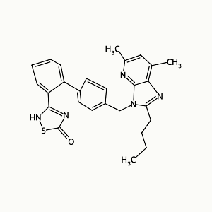 CCCCc1nc2c(C)cc(C)nc2n1Cc1ccc(-c2ccccc2-c2nc(=O)s[nH]2)cc1